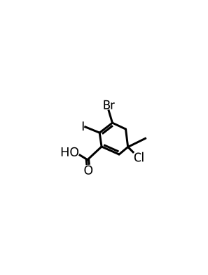 CC1(Cl)C=C(C(=O)O)C(I)=C(Br)C1